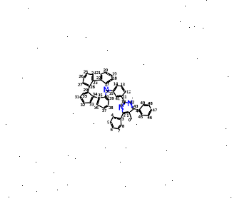 Cc1c(-c2ccccc2)nc(-c2cccc(-n3c4ccccc4c4ccccc4c4ccccc4c4ccccc43)c2)nc1-c1ccccc1